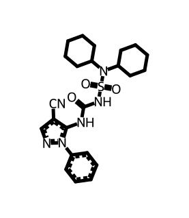 N#Cc1cnn(-c2ccccc2)c1NC(=O)NS(=O)(=O)N(C1CCCCC1)C1CCCCC1